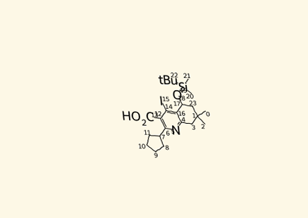 CC1(C)Cc2nc(C3CCCC3)c(C(=O)O)c(I)c2C(O[Si](C)(C)C(C)(C)C)C1